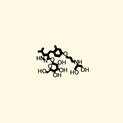 Cc1cc(OCCCNC(CO)CO)ccc1Cc1c(O[C@@H]2O[C@H](CO)[C@@H](O)[C@H](O)[C@H]2O)n[nH]c1C(C)C